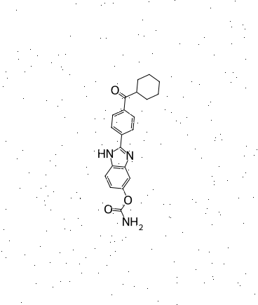 NC(=O)Oc1ccc2[nH]c(-c3ccc(C(=O)C4CCCCC4)cc3)nc2c1